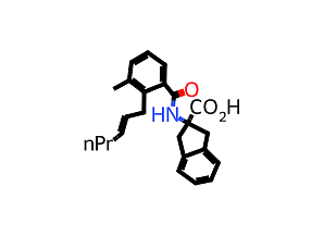 CCCC=CCc1c(C)cccc1C(=O)NC1(C(=O)O)Cc2ccccc2C1